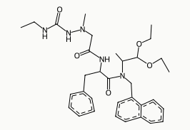 CCNC(=O)NN(C)CC(=O)NC(Cc1ccccc1)C(=O)N(Cc1cccc2ccccc12)C(C)C(OCC)OCC